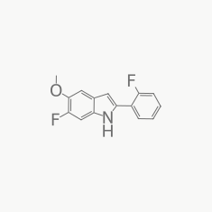 COc1cc2cc(-c3ccccc3F)[nH]c2cc1F